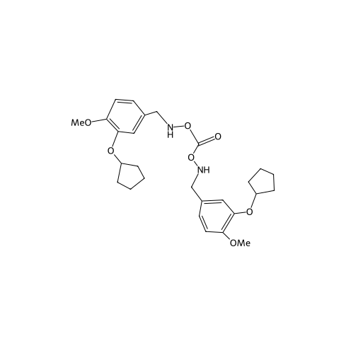 COc1ccc(CNOC(=O)ONCc2ccc(OC)c(OC3CCCC3)c2)cc1OC1CCCC1